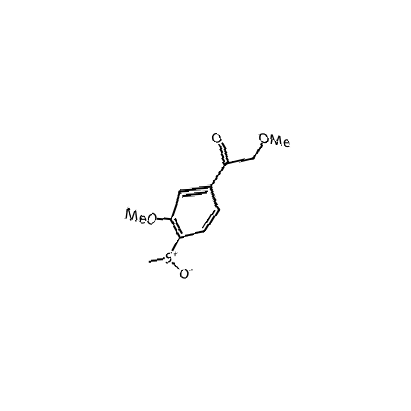 COCC(=O)c1ccc([S+](C)[O-])c(OC)c1